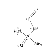 NP(N)(=O)NP=S